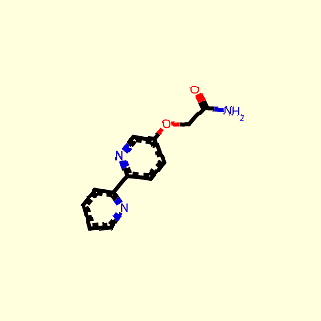 NC(=O)COc1ccc(-c2ccccn2)nc1